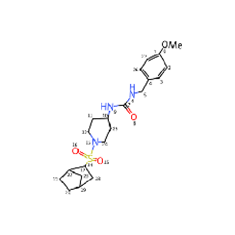 COc1ccc(CNC(=O)NC2CCN(S(=O)(=O)C3CC4CCC3C4)CC2)cc1